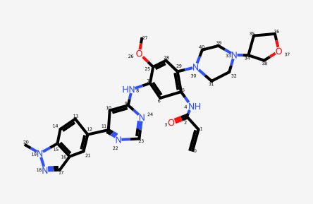 C=CC(=O)Nc1cc(Nc2cc(-c3ccc4c(cnn4C)c3)ncn2)c(OC)cc1N1CCN(C2CCOC2)CC1